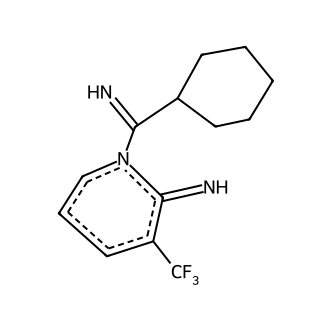 N=C(C1CCCCC1)n1cccc(C(F)(F)F)c1=N